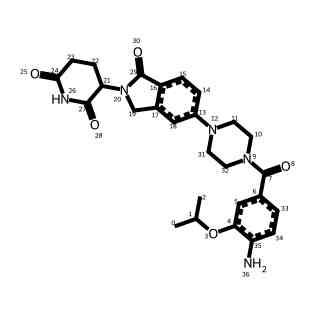 CC(C)Oc1cc(C(=O)N2CCN(c3ccc4c(c3)CN(C3CCC(=O)NC3=O)C4=O)CC2)ccc1N